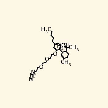 C=C(C)C1CCC(C)=CC1c1c(O)cc(CCCCC)cc1OCCOCCOCCN=[N+]=[N-]